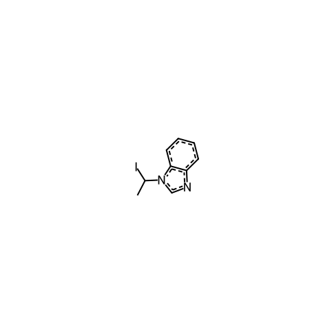 CC(I)n1cnc2ccccc21